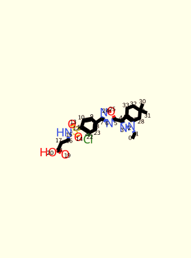 CCn1nc(-c2nc(-c3ccc(S(=O)(=O)NCCC(=O)O)c(Cl)c3)no2)c2c1CC(C)(C)CC2